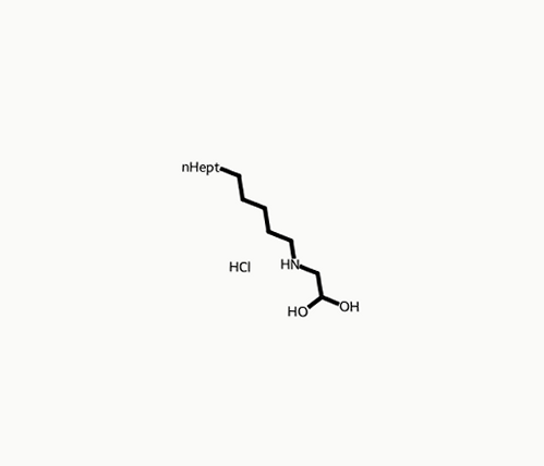 CCCCCCCCCCCCNCC(O)O.Cl